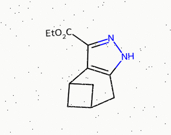 CCOC(=O)c1n[nH]c2c1C1CC(C2)C1